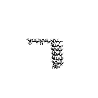 CCCCOC(C)=O.CCCCOC(C)=O.CCCCOC(C)=O.CCCCOC(C)=O.CCCCOC(C)=O.CCCCOC(C)=O.CCCCOC(C)=O.CCCCOC(C)=O.CO